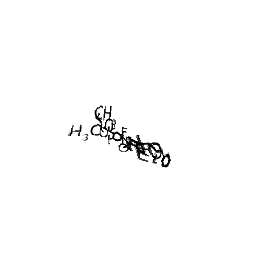 CC=CC(C)OC(=O)c1cc(F)c(-n2nc(COCc3ccccc3)n(CC)c2=O)cc1I